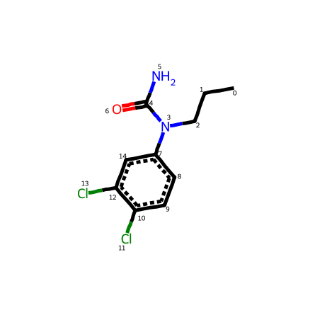 CCCN(C(N)=O)c1ccc(Cl)c(Cl)c1